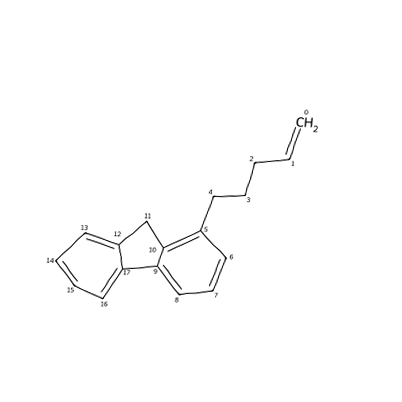 C=CCCCc1cccc2c1Cc1ccccc1-2